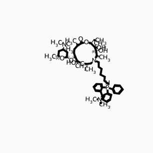 CC[C@H]1OC(=O)[C@H](C)CC[C@@H](O[C@H]2C[C@@H](N(C)C)C[C@@H](C)O2)[C@](C)(O)C[C@@H](C)CN(CCCCCCC[PH](c2ccccc2)(c2ccccc2)c2ccccc2CN(C)C)[C@H](C)[C@@H](O)[C@]1(C)O